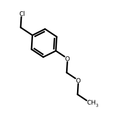 CCOCOc1ccc(CCl)cc1